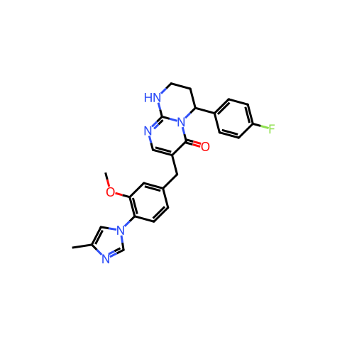 COc1cc(Cc2cnc3n(c2=O)C(c2ccc(F)cc2)CCN3)ccc1-n1cnc(C)c1